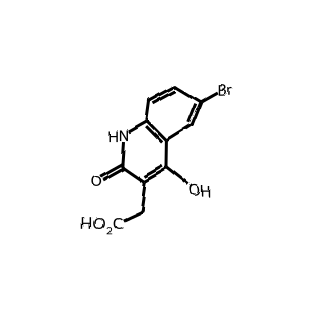 O=C(O)Cc1c(O)c2cc(Br)ccc2[nH]c1=O